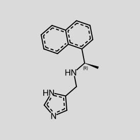 C[C@@H](NCc1cnc[nH]1)c1cccc2ccccc12